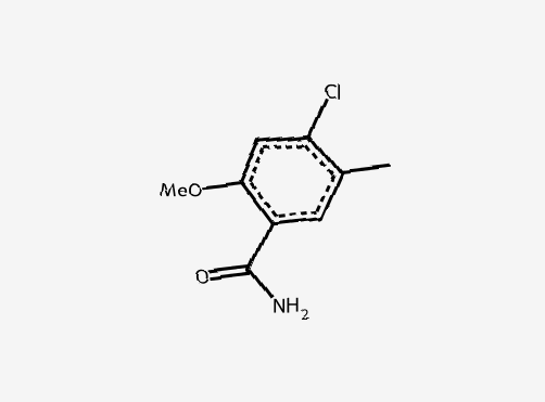 COc1cc(Cl)c(C)cc1C(N)=O